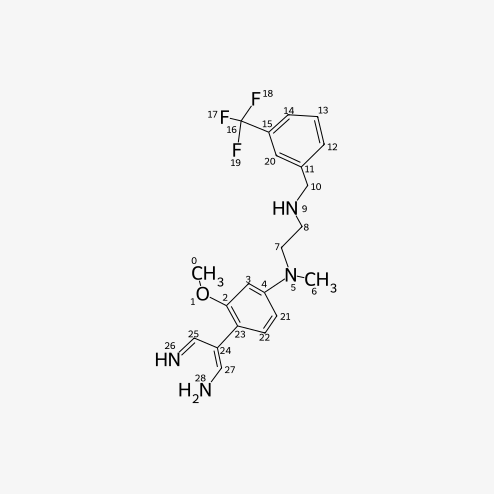 COc1cc(N(C)CCNCc2cccc(C(F)(F)F)c2)ccc1/C(C=N)=C/N